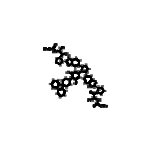 COC(=O)N[C@H](C(=O)N1CCC[C@H]1c1nc2cc([C@H]3CC[C@H](c4ccc5[nH]c([C@@H]6CCCN6C(=O)[C@@H](NC(=O)OC)C(C)C)nc5c4)N3c3cc(F)c(N4CCC(c5ccccc5)(c5ccccc5)CC4)c(F)c3)ccc2[nH]1)C(C)C